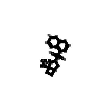 O=C(O)NC12CCC1CN(S(=O)(=O)c1cccc3cnccc13)C2